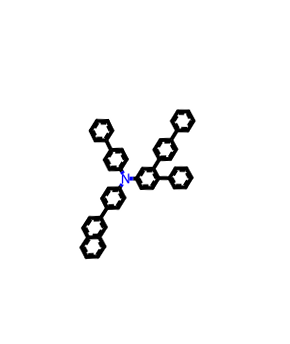 c1ccc(-c2ccc(-c3cc(N(c4ccc(-c5ccccc5)cc4)c4ccc(-c5ccc6ccccc6c5)cc4)ccc3-c3ccccc3)cc2)cc1